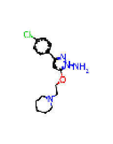 Nn1nc(-c2ccc(Cl)cc2)cc1OCCN1CCCCC1